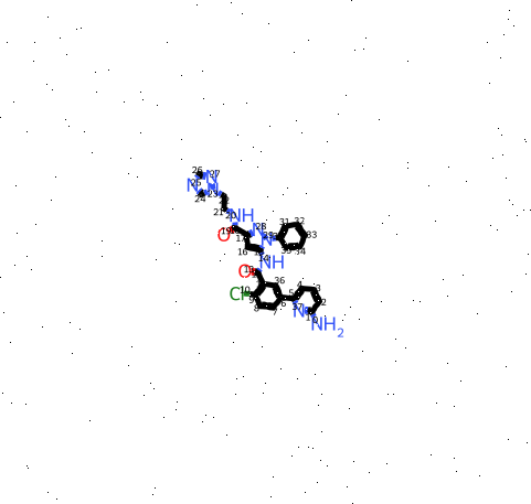 Nc1cccc(-c2ccc(Cl)c(C(=O)Nc3cc(C(=O)NCCn4cncn4)nn3-c3ccccc3)c2)n1